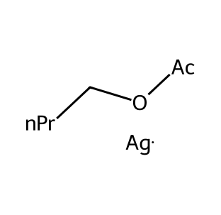 CCCCOC(C)=O.[Ag]